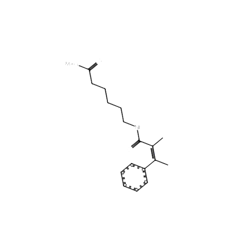 COC(=O)CCCCCNC(=O)/C(C)=C(/C)c1ccccc1